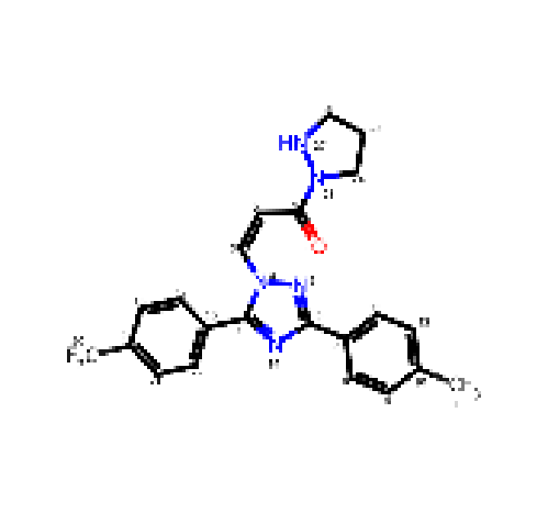 O=C(/C=C\n1nc(-c2ccc(C(F)(F)F)cc2)nc1-c1ccc(C(F)(F)F)cc1)N1CCCN1